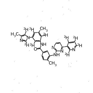 [2H]c1nc([2H])c(-c2ccnc(Nc3cc(C(=O)Nc4c([2H])c(C)c([2H])c(-n5c([2H])nc(C)c5[2H])c4[2H])ccc3C)n2)c([2H])c1[2H]